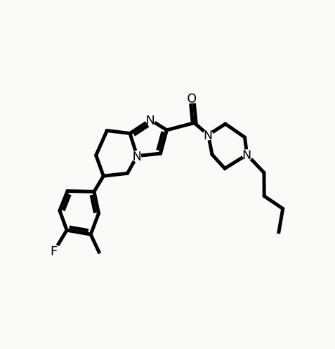 CCCCN1CCN(C(=O)c2cn3c(n2)CCC(c2ccc(F)c(C)c2)C3)CC1